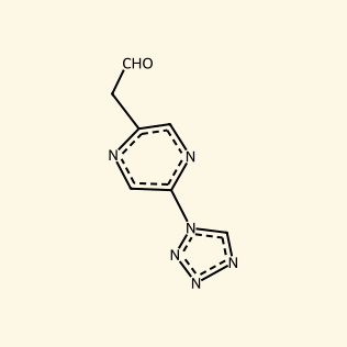 O=CCc1cnc(-n2cnnn2)cn1